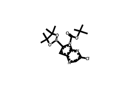 CC(C)(C)OC(=O)n1c(B2OC(C)(C)C(C)(C)O2)cc2ncc(Cl)nc21